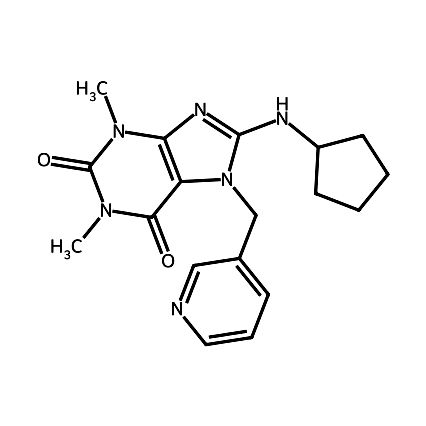 Cn1c(=O)c2c(nc(NC3CCCC3)n2Cc2cccnc2)n(C)c1=O